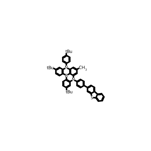 Cc1cc2c3c(c1)N(c1ccc(C(C)(C)C)cc1)c1cc(C(C)(C)C)ccc1B3c1ccc(C(C)(C)C)cc1N2c1ccc(-c2ccc3c(c2)sc2ccccc23)cc1